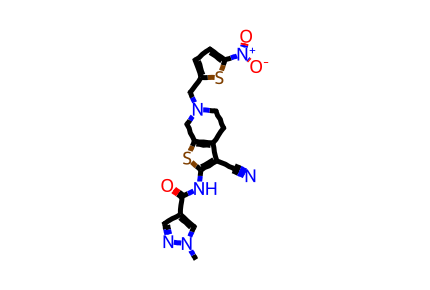 Cn1cc(C(=O)Nc2sc3c(c2C#N)CCN(Cc2ccc([N+](=O)[O-])s2)C3)cn1